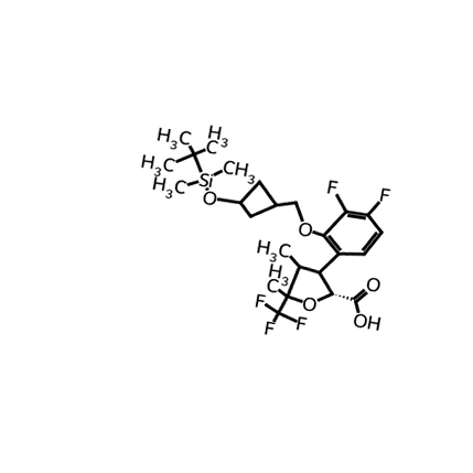 CC1C(c2ccc(F)c(F)c2OCC2CC(O[Si](C)(C)C(C)(C)C)C2)[C@H](C(=O)O)OC1(C)C(F)(F)F